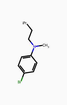 CC(C)CCN(C)c1ccc(Br)cc1